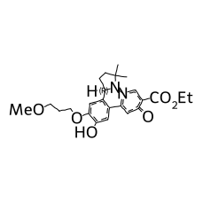 CCOC(=O)c1cn2c(cc1=O)-c1cc(O)c(OCCCOC)cc1[C@H]1CCC(C)(C)N12